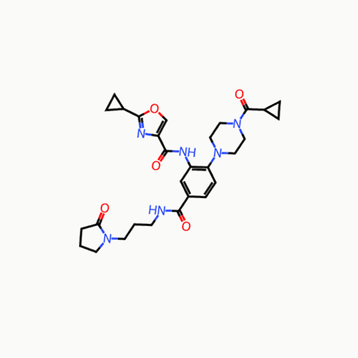 O=C(NCCCN1CCCC1=O)c1ccc(N2CCN(C(=O)C3CC3)CC2)c(NC(=O)c2coc(C3CC3)n2)c1